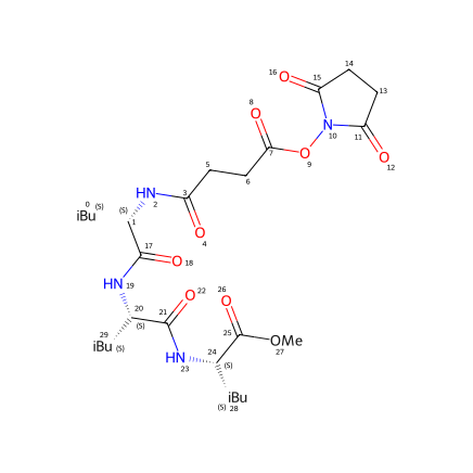 CC[C@H](C)[C@H](NC(=O)CCC(=O)ON1C(=O)CCC1=O)C(=O)N[C@H](C(=O)N[C@H](C(=O)OC)[C@@H](C)CC)[C@@H](C)CC